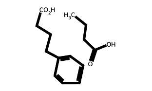 CCCC(=O)O.O=C(O)CCCc1ccccc1